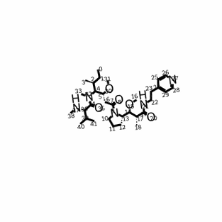 CC[C@H](C)C([C@@H](CC(=O)N1CCC[C@H]1[C@H](OC)[C@@H](C)C(=O)NCCc1ccncc1)OC)N(C)C(=O)[C@@H](NC)C(C)C